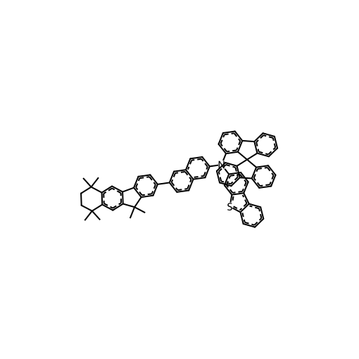 CC1(C)CCC(C)(C)c2cc3c(cc21)-c1ccc(-c2ccc4cc(N(c5ccc6c(c5)sc5ccccc56)c5cccc6c5C5(c7ccccc7-c7ccccc75)c5ccccc5-6)ccc4c2)cc1C3(C)C